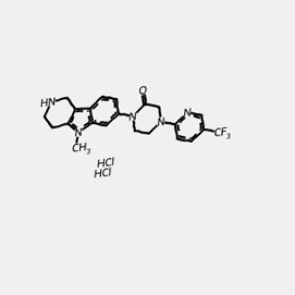 Cl.Cl.Cn1c2c(c3ccc(N4CCN(c5ccc(C(F)(F)F)cn5)CC4=O)cc31)CNCC2